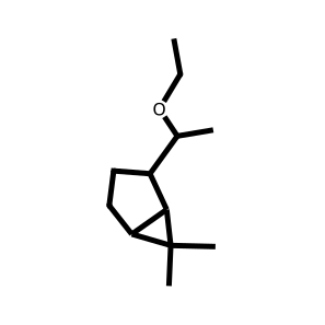 CCOC(C)C1CCC2C1C2(C)C